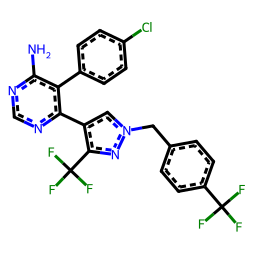 Nc1ncnc(-c2cn(Cc3ccc(C(F)(F)F)cc3)nc2C(F)(F)F)c1-c1ccc(Cl)cc1